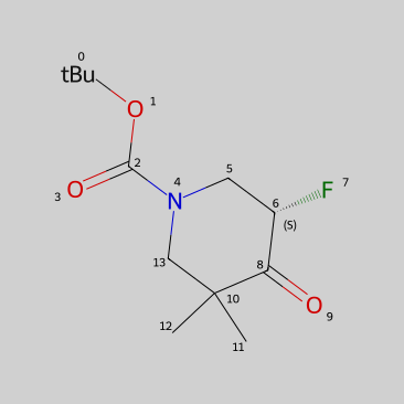 CC(C)(C)OC(=O)N1C[C@H](F)C(=O)C(C)(C)C1